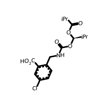 CC(C)C(=O)O[C@H](OC(=O)NCc1ccc(Cl)cc1C(=O)O)C(C)C